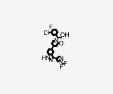 O=c1cc(-c2ccc3[nH]nc(-c4cnn(C(F)F)c4)c3c2)ccn1C(CO)c1ccc(F)c(Cl)c1